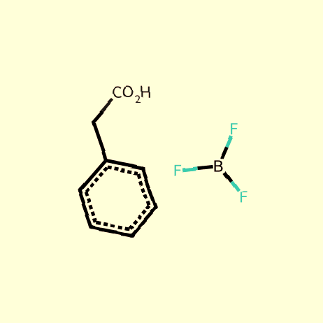 FB(F)F.O=C(O)Cc1ccccc1